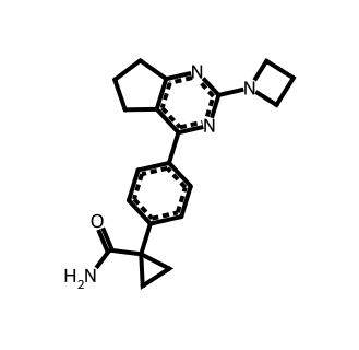 NC(=O)C1(c2ccc(-c3nc(N4CCC4)nc4c3CCC4)cc2)CC1